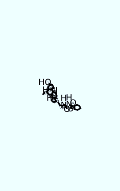 CC[C@H]1C[C@@H]2[C@H](CC[C@]3(C)[C@@H](CC[C@H](C)NC(=O)NS(=O)(=O)C4CCCCC4)CC[C@@H]23)[C@@]2(C)CC[C@@H](O)C[C@@H]12